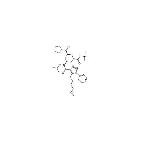 COCCCCc1c(C(=O)N(CC(C)C)[C@H]2C[C@@H](C(=O)N3CCCC3)CN(C(=O)OC(C)(C)C)C2)nnn1-c1ccccc1